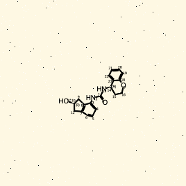 O=C(Nc1cccc2c1C[C@H](O)C2)N[C@@H]1CCOc2ccccc21